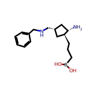 N[C@H]1C[C@@H](CNCc2ccccc2)C[C@@H]1CCCB(O)O